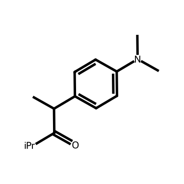 CC(C)C(=O)C(C)c1ccc(N(C)C)cc1